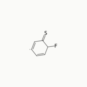 FC1C=C[C]=CC1=S